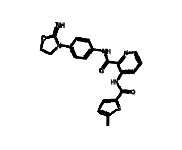 Cc1ccc(C(=O)Nc2cccnc2C(=O)Nc2ccc(N3CCOC3=N)cc2)s1